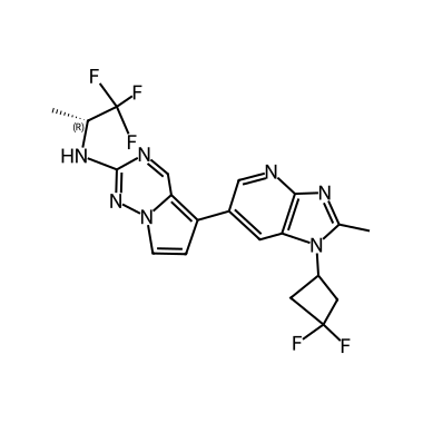 Cc1nc2ncc(-c3ccn4nc(N[C@H](C)C(F)(F)F)ncc34)cc2n1C1CC(F)(F)C1